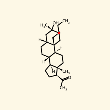 CCOC[C@]12CC[C@@](C)(O)C[C@H]1CC[C@H]1[C@@H]3CC[C@H](C(C)=O)[C@@]3(C)CC[C@@H]12